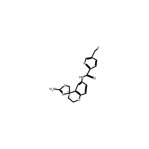 NC1=N[C@]2(CCOc3ccc(NC(=O)c4ccc(CF)cn4)cc32)CS1